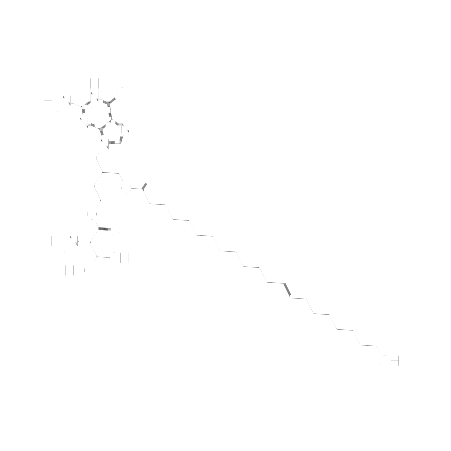 CCCCCCCCC=CCCCCCCCCCCCC(=O)OCC(CCOC(=O)[C@@H](N)C(C)C)Cn1cnc2c(=O)[nH]c(N)nc21